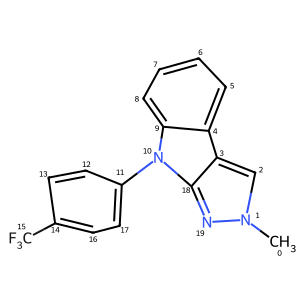 Cn1cc2c3ccccc3n(-c3ccc(C(F)(F)F)cc3)c2n1